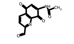 CC(=O)NC1=CC(=O)c2ccc(C=O)nc2C1=O